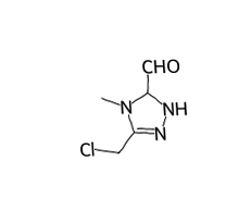 CN1C(CCl)=NNC1C=O